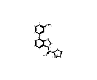 Nc1cc(-c2cccc3c2CCN3C(=O)C2CCCN2)ccn1